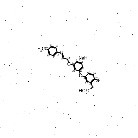 O=C(O)Cc1cc(Oc2cccc(OC/C=C/c3ccc(C(F)(F)F)cc3)c2)ccc1F.[NaH]